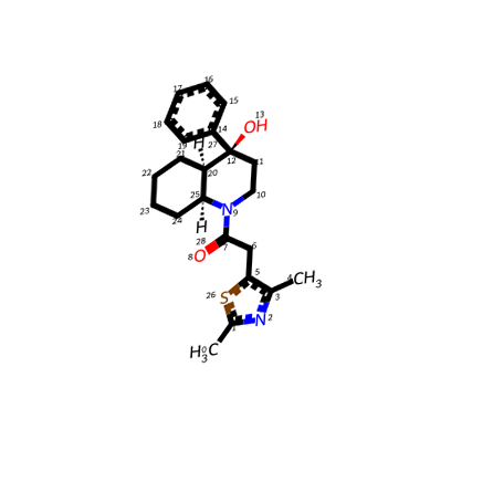 Cc1nc(C)c(CC(=O)N2CC[C@@](O)(c3ccccc3)[C@@H]3CCCC[C@@H]32)s1